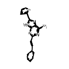 Nc1nc(C#Cc2ccccc2)nc2[nH]c(-c3ccco3)nc12